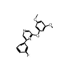 COc1cc(OC)cc(Oc2cncc(-c3cccc(F)c3)n2)c1